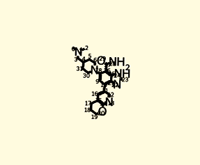 CN(C)CC1CCN(c2cc(-c3cnc4c(c3)CCCO4)c3nc[nH]c3c2C(N)=O)CC1